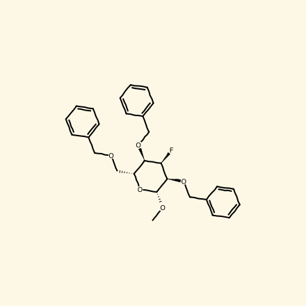 CO[C@@H]1O[C@H](COCc2ccccc2)[C@@H](OCc2ccccc2)[C@@H](F)[C@H]1OCc1ccccc1